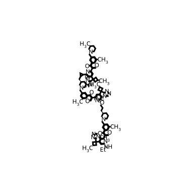 CCNc1cc(C2(c3nncn3C)CC(C)C2)cc(-c2coc3c(C)cc(CN4CCC[C@H](CCCOc5cc(C6(c7nncn7C)CC(C)C6)cc(-c6coc7c(C)cc(CN8CCC[C@H](CC9CC9c9cc(C%10(c%11nncn%11C)CC(C)C%10)cc(-c%10coc%11c(C)cc(CN%12CCC[C@H](C)C%12)cc%11c%10=O)n9)C8)cc7c6=O)n5)C4)cc3c2=O)n1